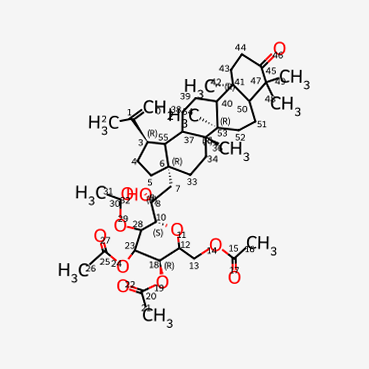 C=C(C)[C@@H]1CC[C@]2(C[C@@H](O)[C@@H]3OC(COC(C)=O)[C@@H](OC(C)=O)C(OC(C)=O)C3OC(C)=O)CC[C@]3(C)C(CCC4[C@@]5(C)CCC(=O)C(C)(C)C5CC[C@]43C)C12